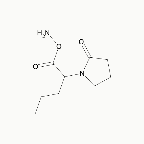 CCCC(C(=O)ON)N1CCCC1=O